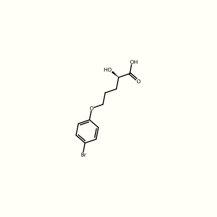 O=C(O)[C@H](O)CCCOc1ccc(Br)cc1